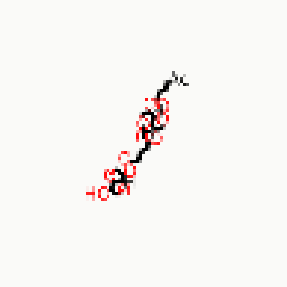 CC(=O)CCCC(=O)O[C@H]1CO[C@H]2[C@@H]1OC[C@@H]2OC(=O)CCCC(=O)O[C@H]1CO[C@H]2[C@@H]1OC[C@@H]2O